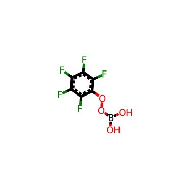 OB(O)OOc1c(F)c(F)c(F)c(F)c1F